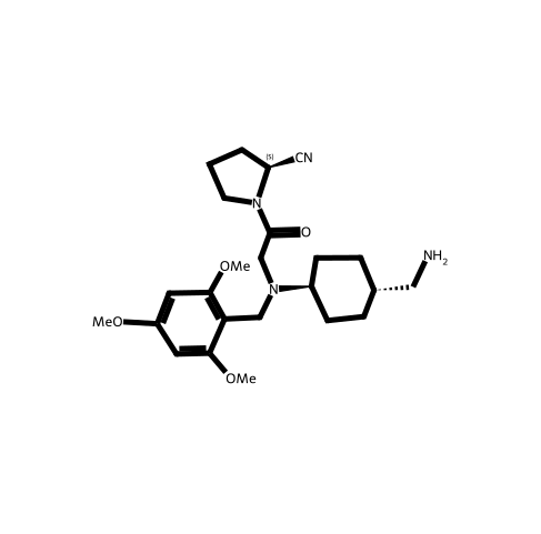 COc1cc(OC)c(CN(CC(=O)N2CCC[C@H]2C#N)[C@H]2CC[C@H](CN)CC2)c(OC)c1